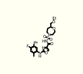 CCOCC1CCN(S(=O)(=O)NC(=O)c2coc(Nc3cc(C(C)C)c(F)cc3C)n2)CCO1